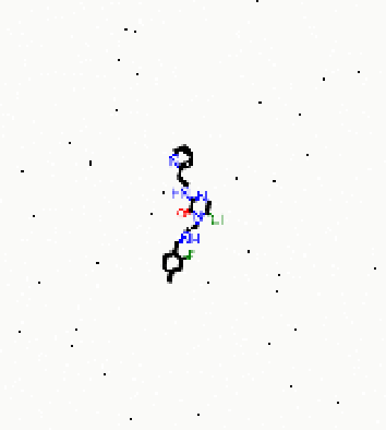 Cc1ccc(CNCCn2c(Cl)cnc(NCCc3ccccn3)c2=O)c(F)c1